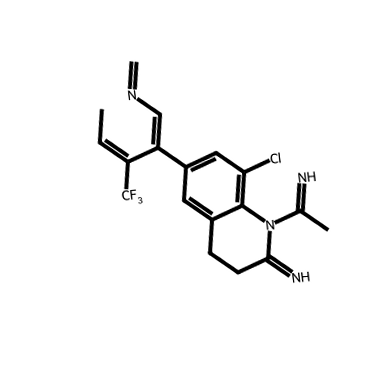 C=N/C=C(\C(=C/C)C(F)(F)F)c1cc(Cl)c2c(c1)CCC(=N)N2C(C)=N